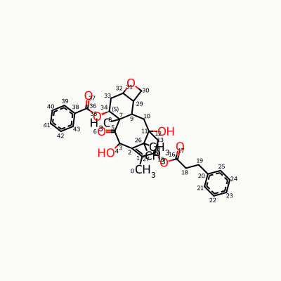 CC1=C2C(O)C(=O)C3(C)C(CC(O)(C[C@@H]1OC(=O)CCc1ccccc1)C2(C)C)C1COC1C[C@@H]3OC(=O)c1ccccc1